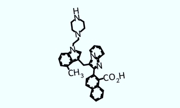 Cc1cccc2c1c(Cc1c(-c3ccc4ccccc4c3C(=O)O)nc3ccccn13)cn2CCN1CCNCC1